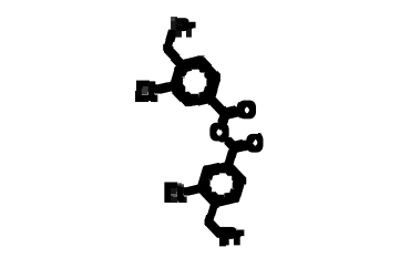 CCc1cc(C(=O)OC(=O)c2ccc(CC(C)C)c(CC)c2)ccc1CC(C)C